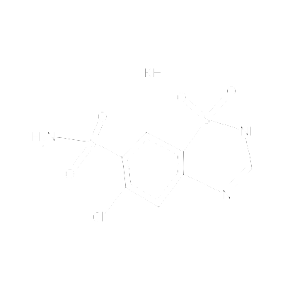 NS(=O)(=O)c1cc2c(cc1Cl)N=CNS2(=O)=O.[KH]